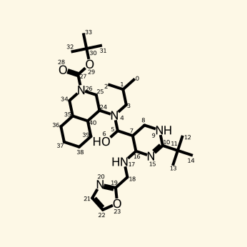 CC(C)CN(C(O)C1CNC(C(C)(C)C)=NC1NCc1ncco1)C1CN(C(=O)OC(C)(C)C)CC2CCCCC21